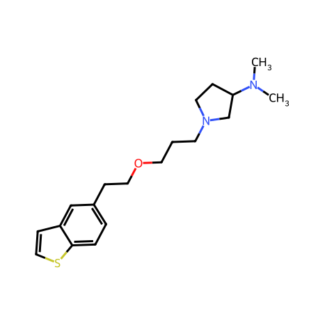 CN(C)C1CCN(CCCOCCc2ccc3sccc3c2)C1